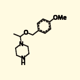 COc1ccc(COC(C)N2CCNCC2)cc1